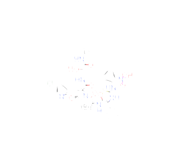 CC(C)(C)[C@H](NC(=O)[C@@H](NC(=S)Nc1ccccc1[N+](=O)O)C1CCCCC1)C(=O)N1C[C@H](Oc2ccc(Cl)cn2)C[C@H]1C(=O)NCC(O)C(=O)NC1CC1